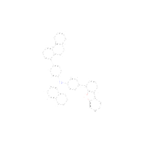 c1ccc2c(N(c3ccc(-c4cccc5c4ccc4ccccc45)cc3)c3ccc(-c4cccc5c4oc4ccccc45)cc3)cccc2c1